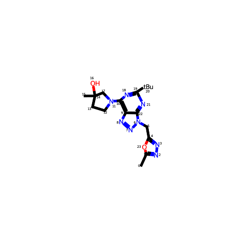 Cc1nnc(Cn2nnc3c(N4CCC(C)(O)C4)nc(C(C)(C)C)nc32)o1